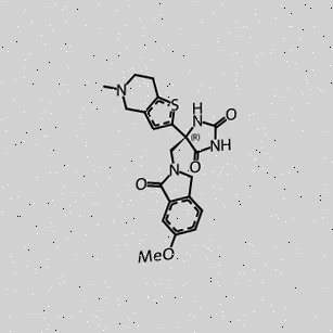 COc1ccc2c(c1)C(=O)N(C[C@@]1(c3cc4c(s3)CCN(C)C4)NC(=O)NC1=O)C2